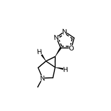 CN1C[C@@H]2[C@H](C1)[C@H]2c1nnco1